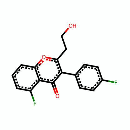 O=c1c(-c2ccc(F)cc2)c(CCO)oc2cccc(F)c12